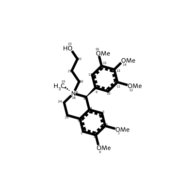 COc1cc2c(cc1OC)[C@H](c1cc(OC)c(OC)c(OC)c1)[N@+](C)(CCCO)CC2